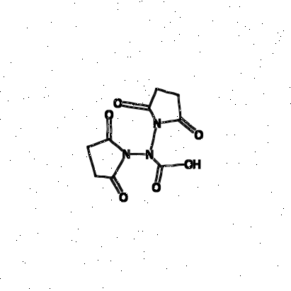 O=C1CCC(=O)N1N(C(=O)O)N1C(=O)CCC1=O